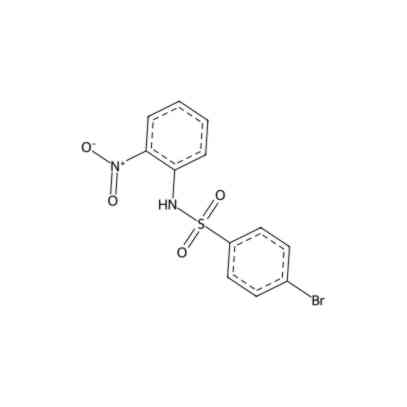 O=[N+]([O-])c1ccccc1NS(=O)(=O)c1ccc(Br)cc1